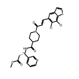 COC(=O)C[C@H](NC(=O)C1CCN(C(=O)/C=C/c2cc3ccsc3c(Cl)c2Cl)CC1)c1cccnc1